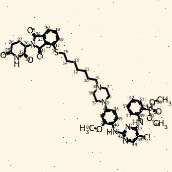 COc1cc(N2CCN(CCCCCCCSc3cccc4c3C(=O)N(C3CCC(=O)NC3=O)C4=O)CC2)ccc1Nc1ncc(Cl)c(Nc2ccccc2P(=O)(OC)OC)n1